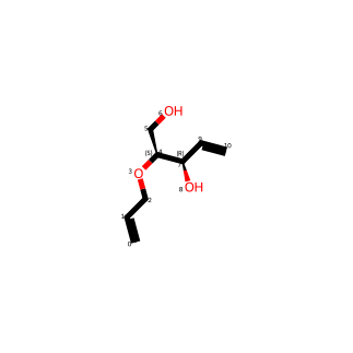 C=CCO[C@@H](CO)[C@H](O)C=C